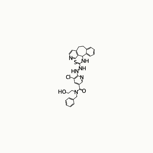 O=C(c1cnc(NNC(=S)NC2c3ccccc3CCc3ccncc32)c(Cl)c1)N(CCO)Cc1ccccc1